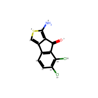 Nc1scc2c1C(=O)c1c-2ccc(Cl)c1Cl